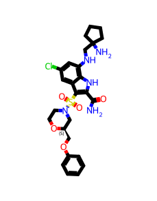 NC(=O)c1[nH]c2c(NCC3(N)CCCC3)cc(Cl)cc2c1S(=O)(=O)N1CCO[C@H](COc2ccccc2)C1